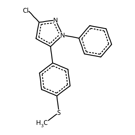 CSc1ccc(-c2cc(Cl)nn2-c2ccccc2)cc1